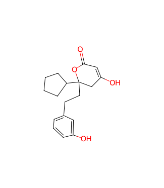 O=C1C=C(O)CC(CCc2cccc(O)c2)(C2CCCC2)O1